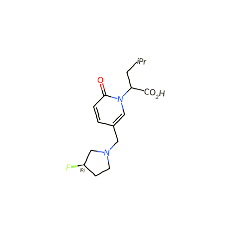 CC(C)CC(C(=O)O)n1cc(CN2CC[C@@H](F)C2)ccc1=O